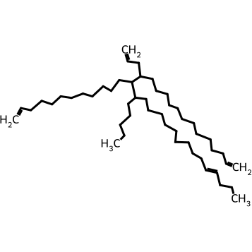 C=CCCCCCCCCCCCC(CC=C)C(CCCCCCCCCCC=C)C(CCCCC)CCCCCCCCCC=CCCC